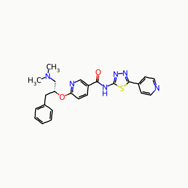 CN(C)C[C@@H](Cc1ccccc1)Oc1ccc(C(=O)Nc2nnc(-c3ccncc3)s2)cn1